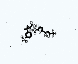 CC1(c2cccc(S(C)(=O)=O)c2)CC1(NS(=O)(=O)c1ccc(-c2cc(C(F)(F)F)on2)s1)C(=O)O